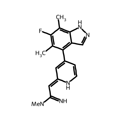 CNC(=N)/C=C1/C=C(c2c(C)c(F)c(C)c3[nH]ncc23)C=CN1